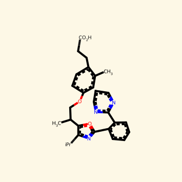 Cc1cc(OCC(C)c2oc(-c3ccccc3-c3ncccn3)nc2C(C)C)ccc1CCC(=O)O